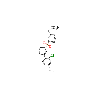 O=C(O)Cc1cccc(S(=O)(=O)c2cccc(-c3ccc(C(F)(F)F)cc3Cl)c2)c1